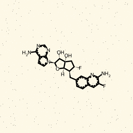 Nc1nc2cc(C[C@H]3[C@H]4O[C@@H](n5ccc6c(N)ncnc65)[C@H](O)[C@@]4(O)C[C@@H]3F)ccc2cc1F